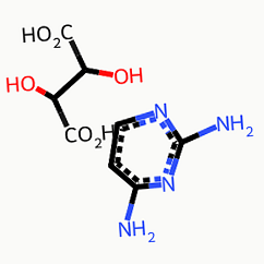 Nc1ccnc(N)n1.O=C(O)C(O)C(O)C(=O)O